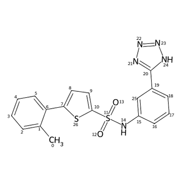 Cc1ccccc1-c1ccc(S(=O)(=O)Nc2cccc(-c3nnn[nH]3)c2)s1